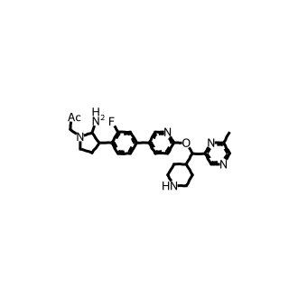 CC(=O)CN1CCC(c2ccc(-c3ccc(OC(c4cncc(C)n4)C4CCNCC4)nc3)cc2F)C1N